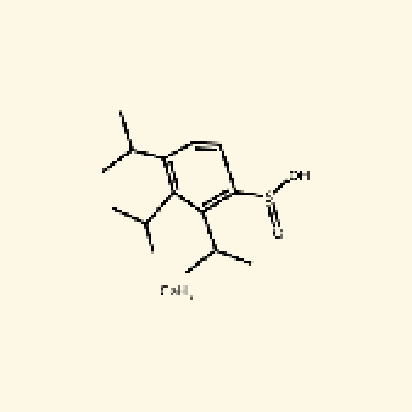 CC(C)c1ccc(S(=O)O)c(C(C)C)c1C(C)C.[CaH2]